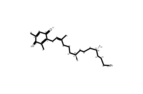 CC(=CCC1=C(C)C(=O)C(C)=CC1=O)CCC[C@H](C)CCC[C@H](C)CCCC(C)C